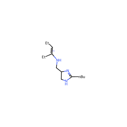 CC/C=C(\CC)NCC1CNC(CCCC)=N1